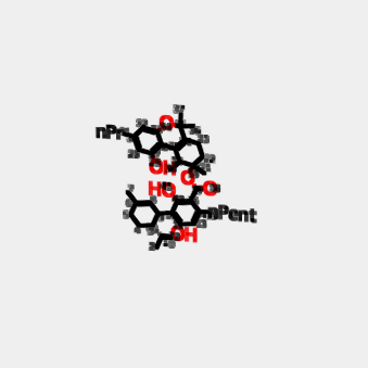 C=C(C)[C@@H]1CCC(C)=CC1c1c(O)cc(CCCCC)c(C(=O)OC2(C)CCC3=C(c4c(O)cc(CCC)cc4OC3(C)C)C2C)c1O